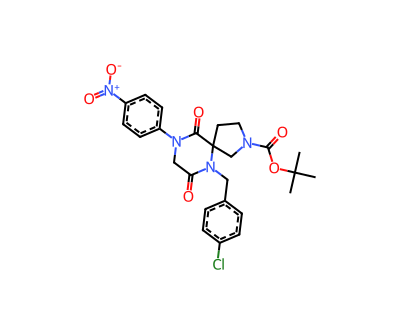 CC(C)(C)OC(=O)N1CCC2(C1)C(=O)N(c1ccc([N+](=O)[O-])cc1)CC(=O)N2Cc1ccc(Cl)cc1